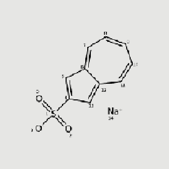 O=S(=O)([O-])c1cc2cccccc-2c1.[Na+]